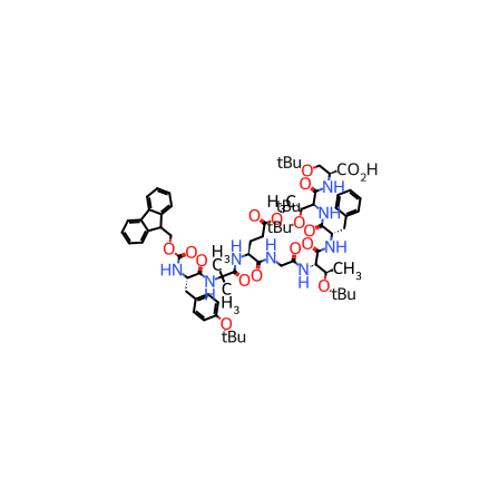 C[C@@H](OC(C)(C)C)[C@H](NC(=O)CNC(=O)[C@H](CCC(=O)OC(C)(C)C)NC(=O)C(C)(C)NC(=O)[C@H](Cc1ccc(OC(C)(C)C)cc1)NC(=O)OCC1c2ccccc2-c2ccccc21)C(=O)N[C@@H](Cc1ccccc1)C(=O)N[C@H](C(=O)N[C@@H](COC(C)(C)C)C(=O)O)[C@@H](C)OC(C)(C)C